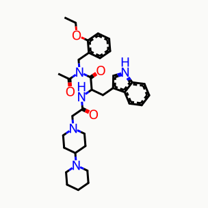 CCOc1ccccc1CN(C(C)=O)C(=O)C(Cc1c[nH]c2ccccc12)NC(=O)CN1CCC(N2CCCCC2)CC1